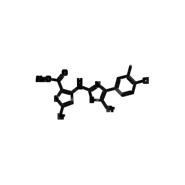 COC(=O)c1sc(Br)cc1Nc1nc(-c2ccc(Cl)c(C)c2)c(C(C)C)s1